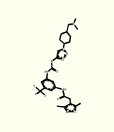 Cc1noc(C)c1CC(=O)Nc1cc(NC(=O)[N-]c2c[n+](C3CCC(CN(C)C)CC3)no2)cc(C(F)(F)F)c1